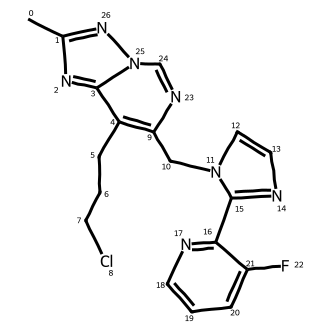 Cc1nc2c(CCCCl)c(Cn3ccnc3-c3ncccc3F)ncn2n1